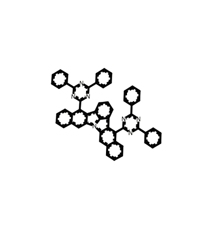 c1ccc(-c2nc(-c3ccccc3)nc(-c3c4ccccc4cc4c3c3cccc5c6c(-c7nc(-c8ccccc8)nc(-c8ccccc8)n7)c7ccccc7cc6n4c35)n2)cc1